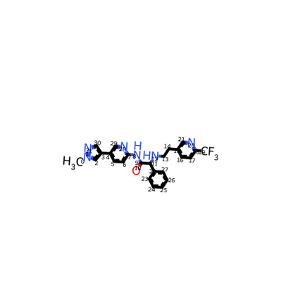 Cn1cc(-c2ccc(NC(=O)C(NCCc3ccc(C(F)(F)F)nc3)c3ccccc3)nc2)cn1